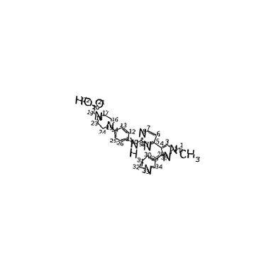 CCn1cc(-c2ccnc(Nc3ccc(N4CCN(CC(=O)O)CC4)cc3)n2)c(-c2cccnc2)n1